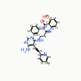 Nc1ncnc(NCCc2nc3cccc(O)c3c(=O)n2-c2ccccc2)c1C#Cc1ccc(F)cn1